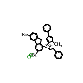 CC1C=C(c2ccccc2)C=[C]1[Zr+2](=[CH]Cc1ccccc1)[c]1cc(C(C)(C)C)cc2c1Cc1ccc(C(C)(C)C)cc1-2.[Cl-].[Cl-]